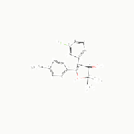 CSc1ccc(C2=C(c3cccc(F)c3)C(=O)C(C)(C)O2)cc1